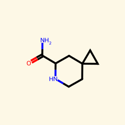 NC(=O)C1CC2(CCN1)CC2